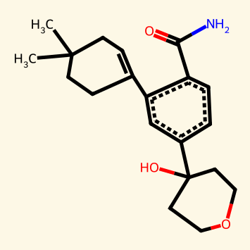 CC1(C)CC=C(c2cc(C3(O)CCOCC3)ccc2C(N)=O)CC1